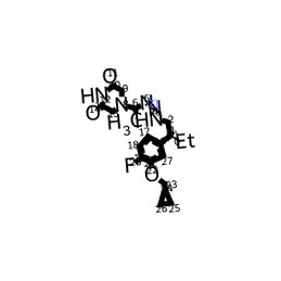 CC[C@@H](CN/N=N\C(C)N1CC(=O)NC(=O)C1)c1ccc(F)c(OCC2CC2)c1